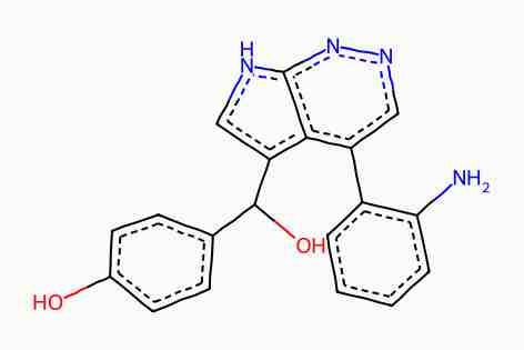 Nc1ccccc1-c1cnnc2[nH]cc(C(O)c3ccc(O)cc3)c12